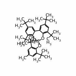 Cc1cc(C(C)(C)C)c(Op2oc3c(C(C)(C)C)cc(C(C)(C)C)cc3c3cc(C(C)(C)C)cc(C(C)(C)C)c3o2)c(C(C)(C)C)c1